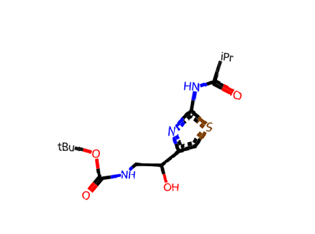 CC(C)C(=O)Nc1nc(C(O)CNC(=O)OC(C)(C)C)cs1